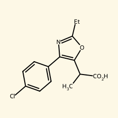 CCc1nc(-c2ccc(Cl)cc2)c(C(C)C(=O)O)o1